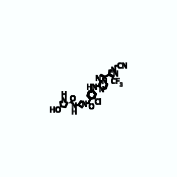 N#CCn1cc(-c2cnc3c(Nc4ccc(C(=O)N5CC(NC(=O)[C@@H]6C[C@@H](O)CN6)C5)c(Cl)c4)nccn23)c(C(F)(F)F)n1